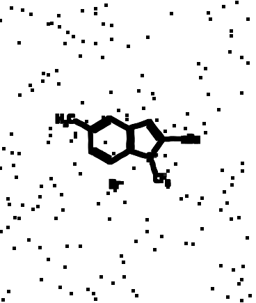 CCCCc1cc2cc(C)ccc2[s+]1C(F)(F)F.[Br-]